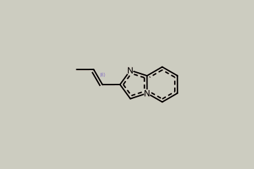 C/C=C/c1cn2ccccc2n1